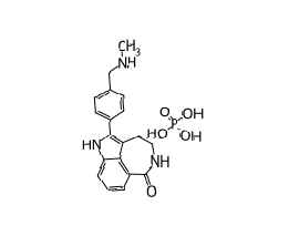 CNCc1ccc(-c2[nH]c3cccc4c3c2CCNC4=O)cc1.O=P(O)(O)O